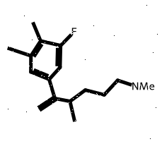 C=C(c1cc(C)c(C)c(F)c1)C(C)CCCNC